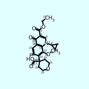 CCOC(=O)c1cn(C2CC2)c2c(OC)c(C3(C(=O)O)CCOCC3)c(F)cc2c1=O